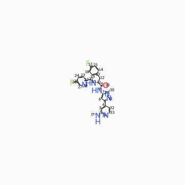 CNc1cc(-c2cc(NC(=O)[C@H](Cc3ccc(F)cc3)NCc3ccc(F)cn3)n(C)n2)ccn1